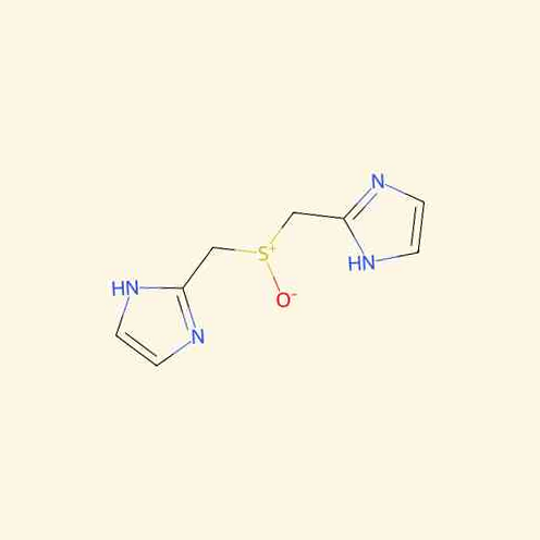 [O-][S+](Cc1ncc[nH]1)Cc1ncc[nH]1